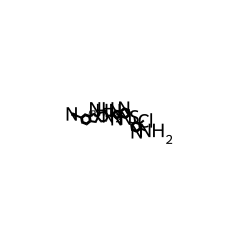 N#Cc1ccc2c(c1)[C@H](N)C1(CCN(c3nc4nc(Sc5ccnc(N)c5Cl)cnc4[nH]3)CC1)C2